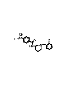 O=C(NC1CCCN(Cc2ccccc2F)C1)c1ccc(B(O)O)cc1